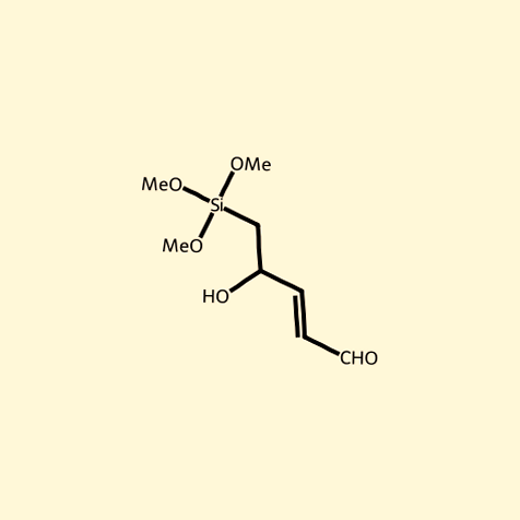 CO[Si](CC(O)C=CC=O)(OC)OC